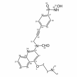 CN(C)CCOc1cc(N(C=O)CC#Cc2ccc(C(=O)NO)cc2)nc2ccccc12